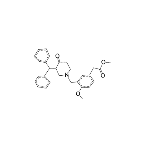 COC(=O)Cc1ccc(OC)c(CN2CCC(=O)C(C(c3ccccc3)c3ccccc3)C2)c1